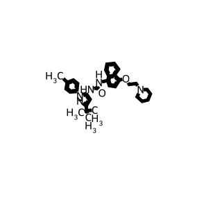 Cc1ccc(-n2nc(C(C)(C)C)cc2NC(=O)Nc2ccc(OCCN3CCCCC3)c3ccccc23)cc1